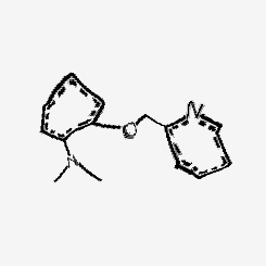 CN(C)c1ccccc1OCc1ccccn1